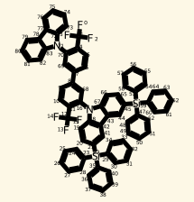 FC(F)(F)c1ccc(-c2ccc(C(F)(F)F)c(-n3c4ccc([Si](c5ccccc5)(c5ccccc5)c5ccccc5)cc4c4cc([Si](c5ccccc5)(c5ccccc5)c5ccccc5)ccc43)c2)cc1-n1c2ccccc2c2ccccc21